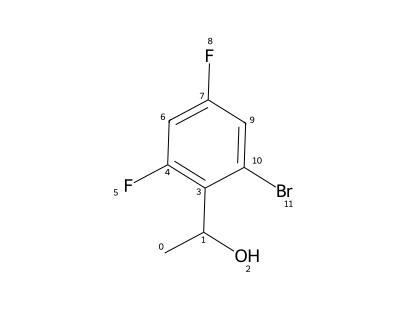 CC(O)c1c(F)cc(F)cc1Br